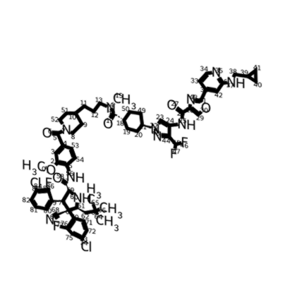 COc1cc(C(=O)N2CCC(CCCN(C)C(=O)[C@H]3CC[C@H](n4cc(NC(=O)c5coc(-c6ccnc(NCC7CC7)c6)n5)c(C(F)F)n4)CC3)CC2)ccc1NC(=O)[C@@H]1N[C@@H](CC(C)(C)C)[C@](C#N)(c2ccc(Cl)cc2F)[C@H]1c1cccc(Cl)c1F